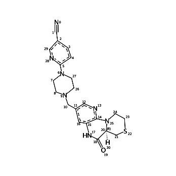 N#Cc1ccc(N2CCN(Cc3cnc4c(c3)NC(=O)[C@@H]3CSCCN43)CC2)nc1